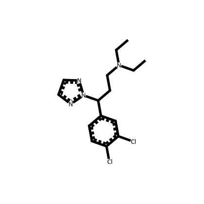 CCN(CC)CCC(c1ccc(Cl)c(Cl)c1)n1nccn1